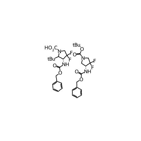 CC(C)(C)C1[C@@H](NC(=O)OCc2ccccc2)C(F)(F)CN1C(=O)O.CC(C)(C)OC(=O)N1C[C@@H](NC(=O)OCc2ccccc2)C(F)(F)C1